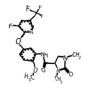 COc1ccc(Oc2ncc(C(F)(F)F)cc2F)cc1NC(=O)C1CN(C)C(=O)N1C